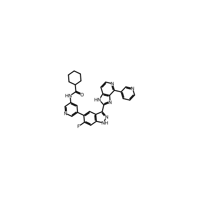 O=C(Nc1cncc(-c2cc3c(-c4nc5c(-c6cccnc6)nccc5[nH]4)n[nH]c3cc2F)c1)C1CCCCC1